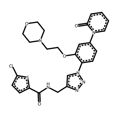 O=C(NCc1cn(-c2ccc(-n3ccccc3=O)cc2OCCN2CCOCC2)nn1)c1ccc(Cl)s1